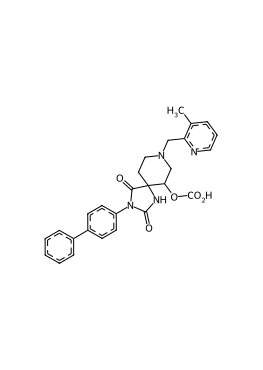 Cc1cccnc1CN1CCC2(NC(=O)N(c3ccc(-c4ccccc4)cc3)C2=O)C(OC(=O)O)C1